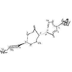 CCCCc1ccc([C@H]2CC[C@H](C#CC#N)CC2)cc1